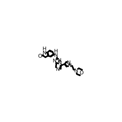 O=C1Cc2cc(Nc3nc4cncc(-c5cnn(CCN6CCOCC6)c5)n4n3)ccc2N1